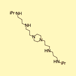 CC(C)NCCCNCCCN1CCN(CCCNCCCNC(C)C)CC1